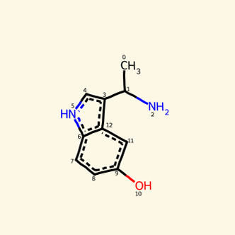 CC(N)c1c[nH]c2ccc(O)cc12